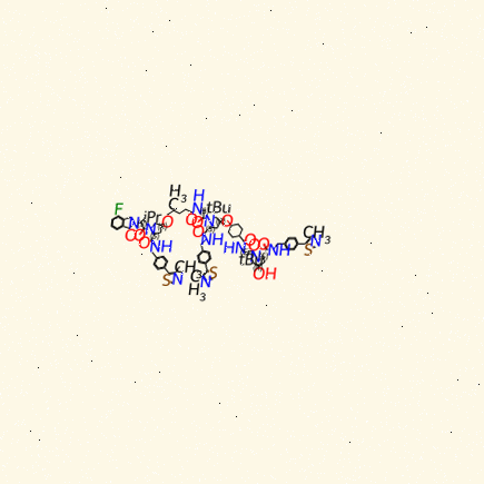 Cc1ncsc1-c1ccc(CNC(=O)[C@@H]2C[C@@H](OCC(C)CCC(=O)N[C@H](C(=O)N3C[C@H](OC4CCC(C(=O)N[C@H](C(=O)N5C[C@H](O)C[C@H]5C(=O)NCc5ccc(-c6scnc6C)cc5)C(C)(C)C)CC4)C[C@H]3C(=O)NCc3ccc(-c4scnc4C)cc3)C(C)(C)C)CN2C(=O)[C@H](C(C)C)N2Cc3c(F)cccc3C2=O)cc1